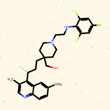 COc1ccc2ncc(C)c([C@H](F)CCC3(CO)CCN(CCNc4c(F)cc(F)cc4F)CC3)c2c1